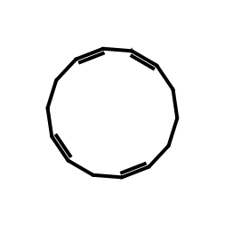 [C]1=CCCCC=CCC=CCCC=C1